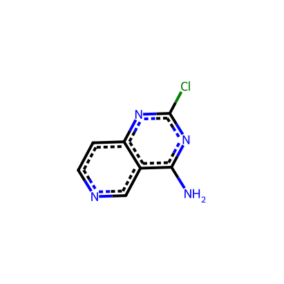 Nc1nc(Cl)nc2ccncc12